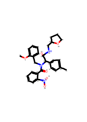 COc1ccccc1CN(C(=O)c1ccccc1[N+](=O)[O-])C(C(=O)NCC1CCCO1)c1ccc(C)cc1